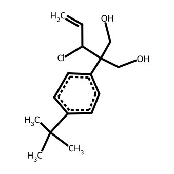 C=CC(Cl)C(CO)(CO)c1ccc(C(C)(C)C)cc1